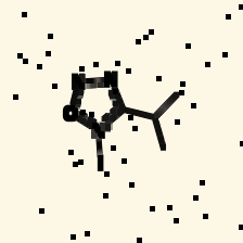 CC(C)c1nno[n+]1I